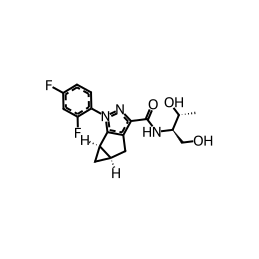 C[C@@H](O)[C@@H](CO)NC(=O)c1nn(-c2ccc(F)cc2F)c2c1C[C@H]1C[C@@H]21